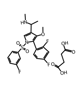 CNC(C)c1cn(S(=O)(=O)c2cccc(F)c2)c(-c2ccc(F)cc2F)c1OC.O=C(O)CCC(=O)O